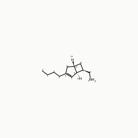 CCCCC1=C[C@@H]2[C@H](CN)C[C@H]2C1